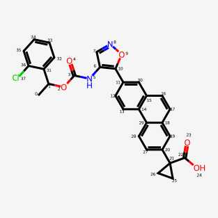 CC(OC(=O)Nc1cnoc1-c1ccc2c(ccc3cc(C4(C(=O)O)CC4)ccc32)c1)c1ccccc1Cl